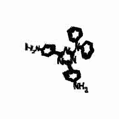 Nc1ccc(-c2nc(-c3ccc(N)cc3)nc(N(c3ccccc3)c3ccccc3)n2)cc1